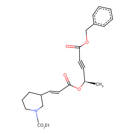 CCOC(=O)N1CCCC(/C=C/C(=O)O[C@H](C)C#CC(=O)OCc2ccccc2)C1